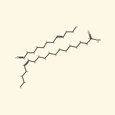 CCC/C=C/CCCCCCC=O.CCCC/C=C\CCCCCCCCCCCC(=O)O